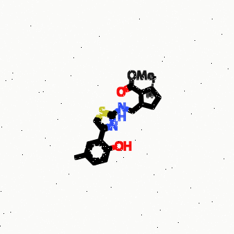 COC(=O)C1C(CNc2nc(-c3cc(C)ccc3O)cs2)CC[C@H]1C